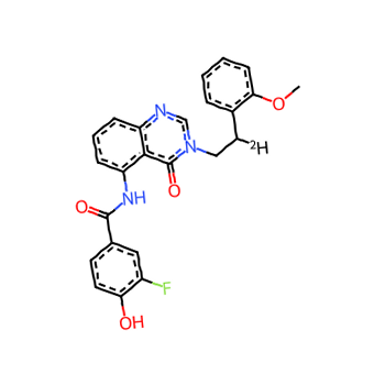 [2H]C(Cn1cnc2cccc(NC(=O)c3ccc(O)c(F)c3)c2c1=O)c1ccccc1OC